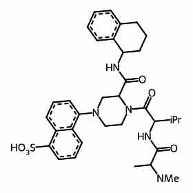 CNC(C)C(=O)NC(C(=O)N1CCN(c2cccc3c(S(=O)(=O)O)cccc23)CC1C(=O)NC1CCCc2ccccc21)C(C)C